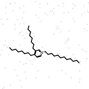 CCCCCCCCCCCC[n+]1ccc(CCCCCCCC)c(CCCCCCCC)c1